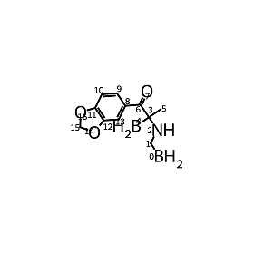 BCNC(B)(C)C(=O)c1ccc2c(c1)OCO2